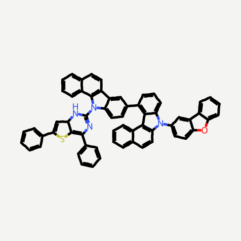 C1=C(c2ccccc2)SC2=C(c3ccccc3)N=C(n3c4ccc(-c5cccc6c5c5c7ccccc7ccc5n6-c5ccc6oc7ccccc7c6c5)cc4c4ccc5ccccc5c43)NC12